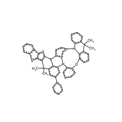 CC1(C)c2ccccc2N2c3ccc4c(c3)N(c3ccccc3Oc3cccc1c32)c1cc(-c2ccccc2)cc2c1B4c1sc3c(sc4ccccc43)c1C2(C)C